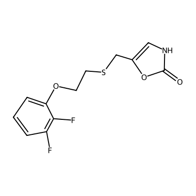 O=c1[nH]cc(CSCCOc2cccc(F)c2F)o1